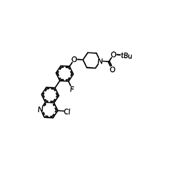 CC(C)(C)OC(=O)N1CCC(Oc2ccc(-c3ccc4nccc(Cl)c4c3)c(F)c2)CC1